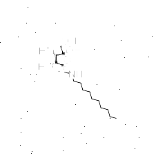 CCCCCCCCCCNC[C@@H]1O[C@](O)(CO)[C@@H](O)[C@@H]1O